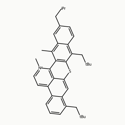 Cc1c2c(c(CC(C)(C)C)c3ccc(CC(C)C)cc13)Sc1cc3c(CC(C)(C)C)cccc3c3cc[n+](C)c-2c13